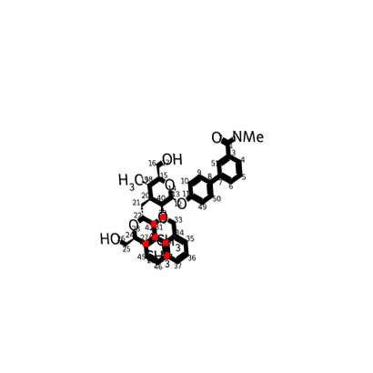 CNC(=O)c1cccc(-c2ccc(O[C@H]3O[C@H](CO)[C@@H](C)[C@H](C[C@H]4O[C@H](CO)[C@@H](C)[C@H](C)[C@@H]4OCc4ccccc4)[C@@H]3OCc3ccccc3)cc2)c1